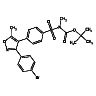 Cc1onc(-c2ccc(Br)cc2)c1-c1ccc(S(=O)(=O)N(C)C(=O)OC(C)(C)C)cc1